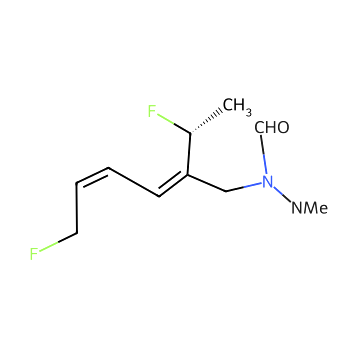 CNN(C=O)C/C(=C/C=C\CF)[C@@H](C)F